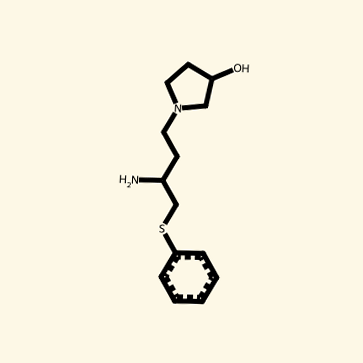 NC(CCN1CCC(O)C1)CSc1ccccc1